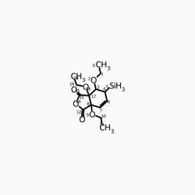 CCOC1C([SiH3])C=CC2(OCC)C(=O)OC(=O)C12OCC